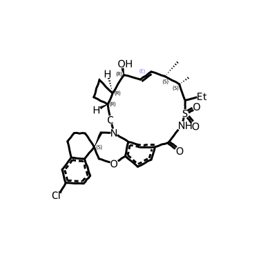 CCC1[C@@H](C)[C@@H](C)/C=C/[C@H](O)[C@@H]2CC[C@H]2CN2C[C@@]3(CCCc4cc(Cl)ccc43)COc3ccc(cc32)C(=O)NS1(=O)=O